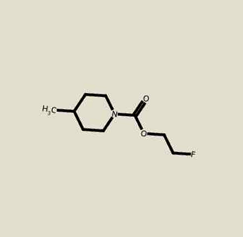 CC1CCN(C(=O)OCCF)CC1